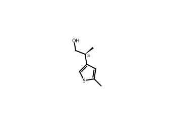 Cc1cc([C@H](C)CO)cs1